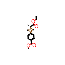 CCOC(=O)[C@@H](C)S(C)(C)c1ccc(C(=O)OC)cc1